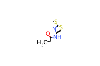 CCC(=O)Nc1csc([S])n1